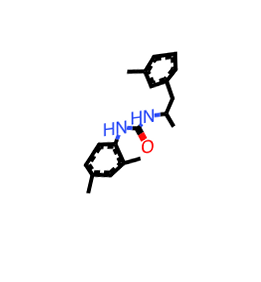 Cc1cccc(CC(C)NC(=O)Nc2ccc(C)cc2C)c1